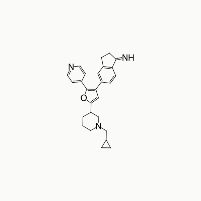 N=C1CCc2cc(-c3cc(C4CCCN(CC5CC5)C4)oc3-c3ccncc3)ccc21